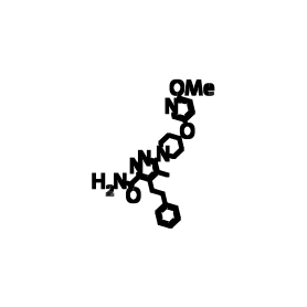 COc1ccc(OC2CCN(c3nnc(C(N)=O)c(CCc4ccccc4)c3C)CC2)cn1